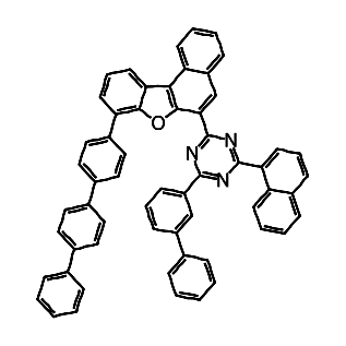 c1ccc(-c2ccc(-c3ccc(-c4cccc5c4oc4c(-c6nc(-c7cccc(-c8ccccc8)c7)nc(-c7cccc8ccccc78)n6)cc6ccccc6c45)cc3)cc2)cc1